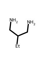 CCC(CN)CN